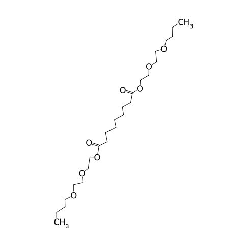 CCCCOCCOCCOC(=O)CCCCCCCC(=O)OCCOCCOCCCC